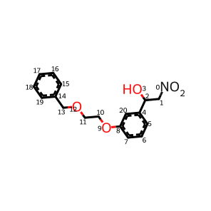 O=[N+]([O-])CC(O)c1cccc(OCCOCc2ccccc2)c1